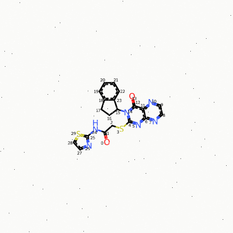 O=C(CSc1nc2nccnc2c(=O)n1C1CCc2ccccc21)Nc1nccs1